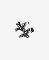 NCC(=O)OCOC(C(=O)OC1CC2CCC(C1)[N+]21CCCC1)(c1ccccc1)c1ccccc1.NCC(=O)OCOC(C(=O)OC1CC2CCC(C1)[N+]21CCCC1)(c1ccccc1)c1ccccc1.O=C([O-])C(F)(F)F.O=C([O-])C(F)(F)F